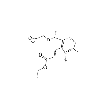 CCOC(=O)/C=C/c1c([C@@H](C)OCC2CO2)ccc(C)c1F